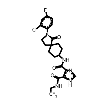 O=C(NC1CCC2(CC1)CCN(c1ccc(F)cc1Cl)C2=O)c1nc[nH]c1C(=O)NCC(F)(F)F